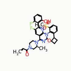 C=CC(=O)N1CCN(c2nc(=O)n(-c3c(C4CCC4)cccc3S(C)(=O)=O)c3nc(-c4c(O)cccc4F)c(F)cc23)[C@@H](C)C1